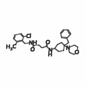 Cc1cccc(Cl)c1CNC(=O)CCC(=O)NC1CCC(Cc2ccccc2)(N2CCOCC2)CC1